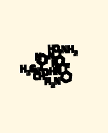 CN(C)C(=O)c1cncc(Nc2nc(N[C@@H]3CCCC[C@@H]3N)c(F)cc2C(N)=O)c1